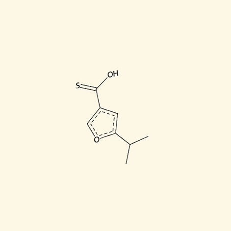 CC(C)c1cc(C(O)=S)co1